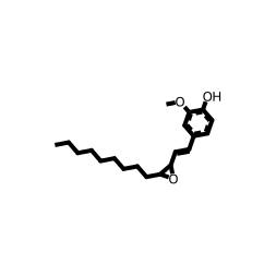 CCCCCCCCCC1OC1/C=C/c1ccc(O)c(OC)c1